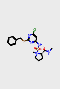 CNC(=O)[C@H]1CCC[N+]1(C)S(=O)(=O)Nc1cc(Cl)nc(SCc2ccccc2)n1